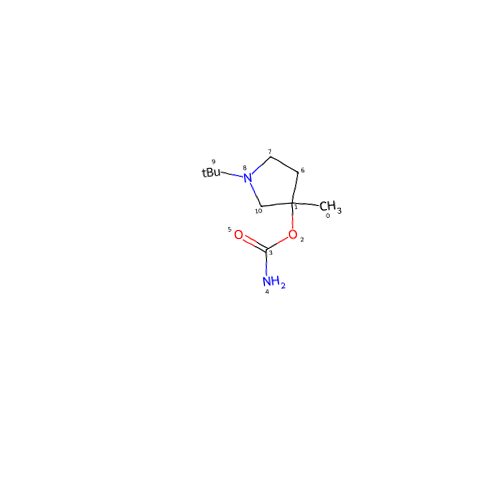 CC1(OC(N)=O)CCN(C(C)(C)C)C1